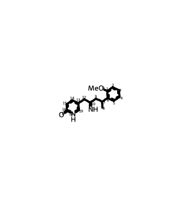 COc1ccccc1C(C)CC(=N)Cc1ccc(=O)[nH]c1